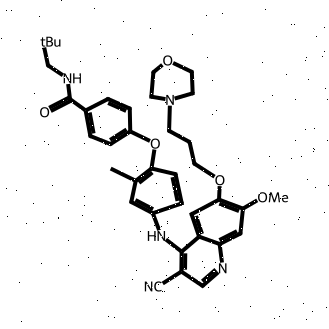 COc1cc2ncc(C#N)c(Nc3ccc(Oc4ccc(C(=O)NCC(C)(C)C)cc4)c(C)c3)c2cc1OCCCN1CCOCC1